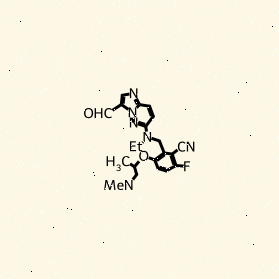 CCN(Cc1c(OC(C)CNC)ccc(F)c1C#N)c1ccc2ncc(C=O)n2n1